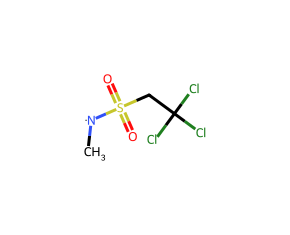 C[N]S(=O)(=O)CC(Cl)(Cl)Cl